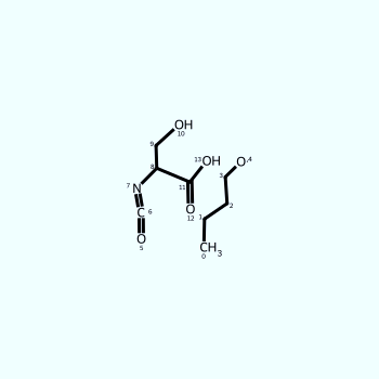 CCCC[O].O=C=NC(CO)C(=O)O